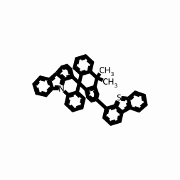 CC1(C)c2ccccc2C2(c3ccccc3-n3c4ccccc4c4cccc2c43)c2ccc(-c3cccc4c3sc3ccccc34)cc21